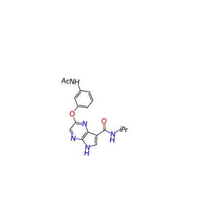 CC(=O)Nc1cccc(Oc2cnc3[nH]cc(C(=O)NC(C)C)c3n2)c1